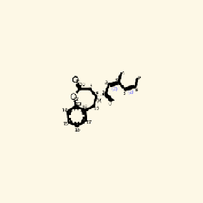 C=C(/C=C(C)\C=C/C)[C@H]1CC(=O)Oc2ccccc2C1